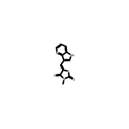 CN1C(=O)S/C(=C\c2c[nH]c3cccnc23)C1=O